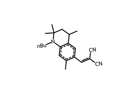 CCCCN1c2cc(C)c(C=C(C#N)C#N)cc2C(C)CC1(C)C